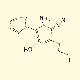 CCCCC1=CC(O)=C(c2ccccc2)C(N)C1=[N+]=[N-]